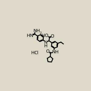 CCc1cc(NC(=O)C2CCCC2)cc(C(Nc2ccc(C(=N)N)cc2)C(=O)O)c1.Cl